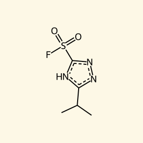 CC(C)c1nnc(S(=O)(=O)F)[nH]1